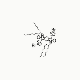 CCCCCCCCC(CCCCCC)CN1C(=O)C(c2ccc(Br)s2)=c2cc3c(cc21)=C(c1ccc(Br)s1)C(=O)N3CC(CCCCCC)CCCCCCCC